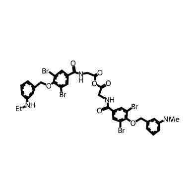 CCNc1cccc(COc2c(Br)cc(C(=O)NCC(=O)OC(=O)CNC(=O)c3cc(Br)c(OCc4cccc(NC)c4)c(Br)c3)cc2Br)c1